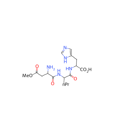 CCCC(NC(=O)C(N)CC(=O)OC)C(=O)NC(Cc1cnc[nH]1)C(=O)O